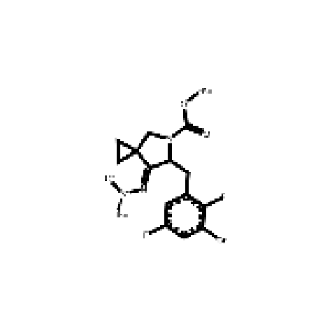 CC(C)(C)OC(=O)N1CC2(CC2)/C(=N\[S@+]([O-])C(C)(C)C)C1Cc1cc(F)cc(Br)c1F